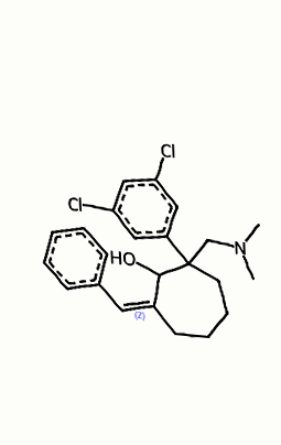 CN(C)CC1(c2cc(Cl)cc(Cl)c2)CCCC/C(=C/c2ccccc2)C1O